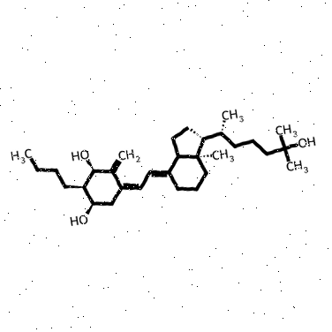 C=C1/C(=C\C=C2CCC[C@@]3(C)C2CC[C@@H]3[C@H](C)CCCC(C)(C)O)C[C@@H](O)[C@@H](CCCC)[C@H]1O